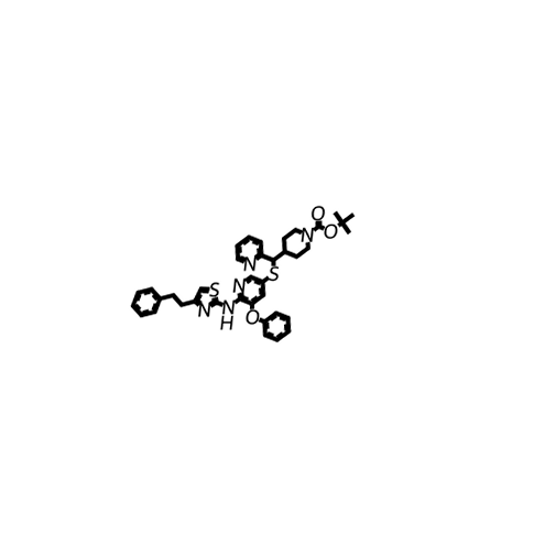 CC(C)(C)OC(=O)N1CCC(C(Sc2cnc(Nc3nc(CCc4ccccc4)cs3)c(Oc3ccccc3)c2)c2ccccn2)CC1